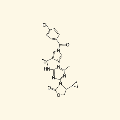 Cc1nc(N[C@@H](C)c2cn(C(=O)c3ccc(Cl)cc3)cn2)nc(N2C(=O)OCC2C2CC2)n1